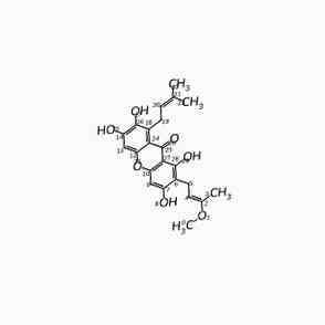 CO/C(C)=C/Cc1c(O)cc2oc3cc(O)c(O)c(CC=C(C)C)c3c(=O)c2c1O